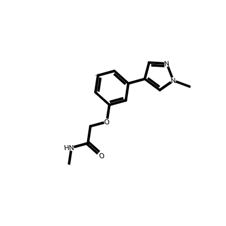 CNC(=O)COc1c[c]cc(-c2cnn(C)c2)c1